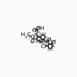 CCOC(=O)c1cnc2c(NC(=O)c3c(Cl)cccc3Cl)cccc2c1SCC(=O)O